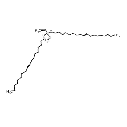 C=C[Si](OC)(OCCCCCCCCC=CCCCCCCCC)OCCCCCCCCC=CCCCCCCCC